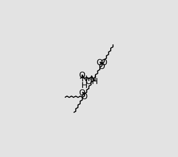 CCCCCCCCCOC(=O)OCCCCCCN(CCCCCCCC(=O)OC(CCCCCCCC)CCCCCCCC)CC(O)CNC(C)=O